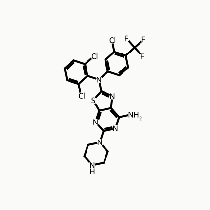 Nc1nc(N2CCNCC2)nc2sc(N(c3ccc(C(F)(F)F)c(Cl)c3)c3c(Cl)cccc3Cl)nc12